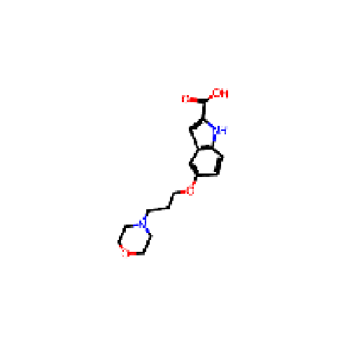 O=C(O)c1cc2cc(OCCCN3CCOCC3)ccc2[nH]1